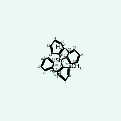 Cc1cccc[c]1[SbH]([c]1ccccc1)([c]1ccccc1C)[c]1ccccc1C